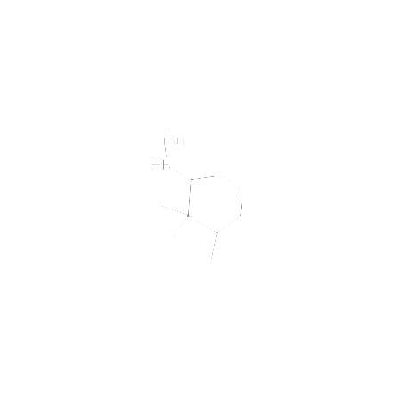 CCC(C)BC1CCCC(C)C1(C)C